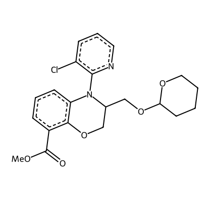 COC(=O)c1cccc2c1OCC(COC1CCCCO1)N2c1ncccc1Cl